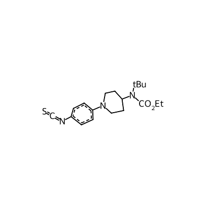 CCOC(=O)N(C1CCN(c2ccc(N=C=S)cc2)CC1)C(C)(C)C